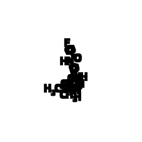 CC(C)[C@@H](C)NC(=O)c1[nH]cnc1C(=O)Nc1ccc(NC(=O)c2ccc(F)cc2)cc1